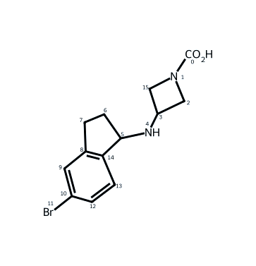 O=C(O)N1CC(NC2CCc3cc(Br)ccc32)C1